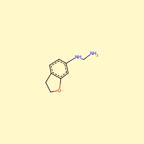 NCNc1ccc2c(c1)OCC2